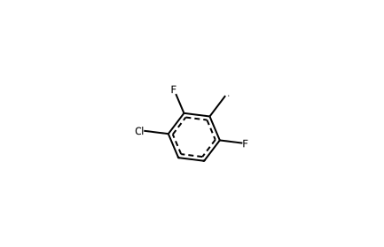 [CH2]c1c(F)ccc(Cl)c1F